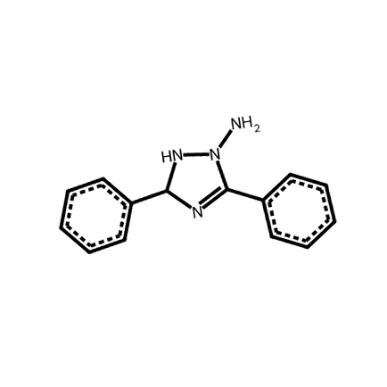 NN1NC(c2ccccc2)N=C1c1ccccc1